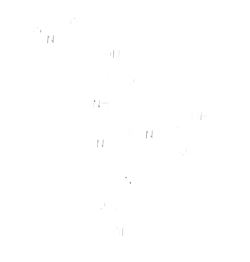 O=C(O)CNC(Cc1ccc([N+](=O)[O-])cc1)CN1CCN(CC(=O)O)CCN(CC(=O)O)CC1